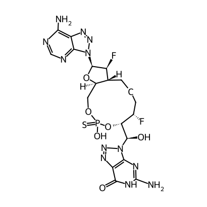 Nc1nc2c(nnn2[C@H](O)[C@@H]2OP(O)(=S)OC[C@H]3O[C@@H](n4nnc5c(N)ncnc54)[C@@H](F)[C@@H]3CCC[C@@H]2F)c(=O)[nH]1